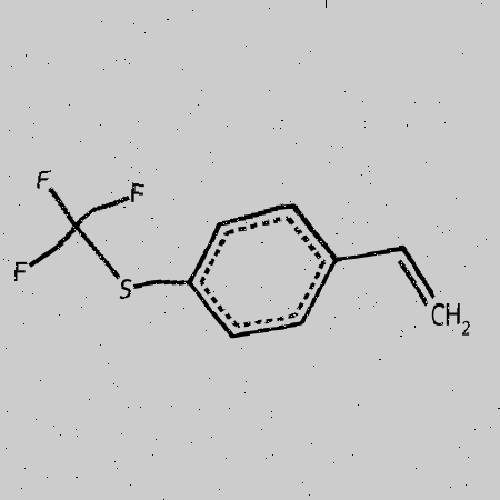 C=Cc1ccc(SC(F)(F)F)cc1